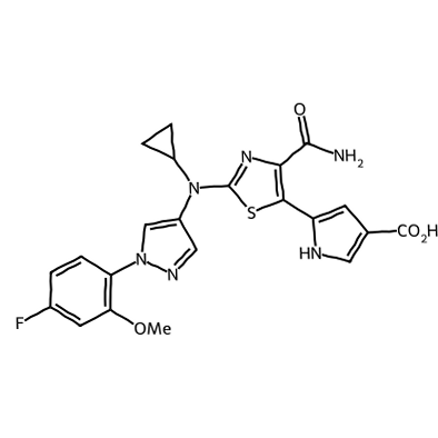 COc1cc(F)ccc1-n1cc(N(c2nc(C(N)=O)c(-c3cc(C(=O)O)c[nH]3)s2)C2CC2)cn1